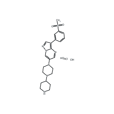 CS(=O)(=O)c1cccc(-c2cnn3cc(N4CCN(C5CCNCC5)CC4)cnc23)c1.Cl.Cl.Cl